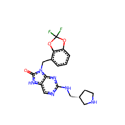 O=c1[nH]c2cnc(NC[C@@H]3CCNC3)nc2n1Cc1cccc2c1OC(F)(F)O2